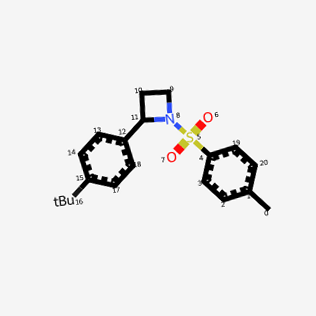 Cc1ccc(S(=O)(=O)N2CCC2c2ccc(C(C)(C)C)cc2)cc1